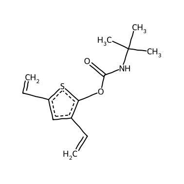 C=Cc1cc(C=C)c(OC(=O)NC(C)(C)C)s1